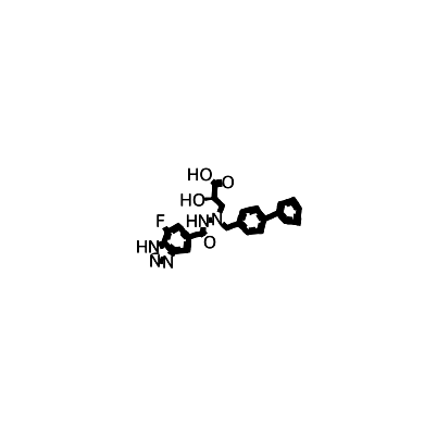 O=C(NN(Cc1ccc(-c2ccccc2)cc1)C[C@@H](O)C(=O)O)c1cc(F)c2[nH]nnc2c1